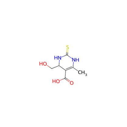 CC1=C(C(=O)O)C(CO)NC(=S)N1